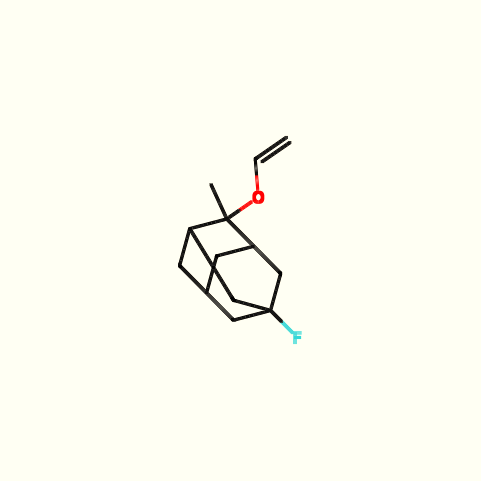 C=COC1(C)C2CC3CC1CC(F)(C3)C2